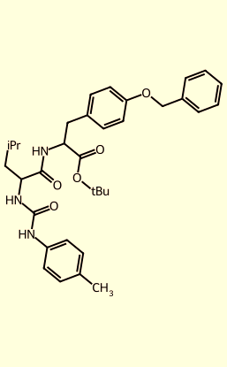 Cc1ccc(NC(=O)NC(CC(C)C)C(=O)NC(Cc2ccc(OCc3ccccc3)cc2)C(=O)OC(C)(C)C)cc1